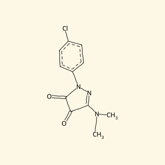 CN(C)C1=NN(c2ccc(Cl)cc2)C(=O)C1=O